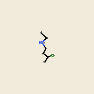 CCNCCC(C)Cl